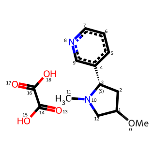 COC1C[C@@H](c2cccnc2)N(C)C1.O=C(O)C(=O)O